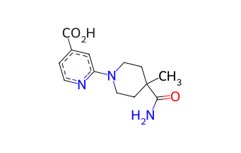 CC1(C(N)=O)CCN(c2cc(C(=O)O)ccn2)CC1